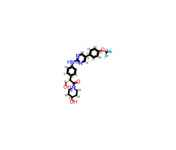 O=C([C@H](CO)c1ccc(Nc2ncc(-c3ccc(OC(F)F)cc3)cn2)cc1)N1CCC(O)CC1